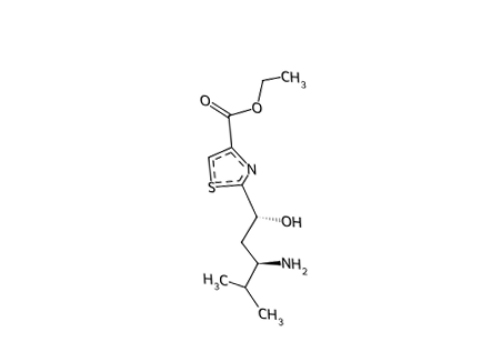 CCOC(=O)c1csc([C@H](O)C[C@@H](N)C(C)C)n1